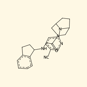 N#Cc1ccc(N2C3CCC2CN(C(=O)CNC2CCc4ccccc42)C3)nc1